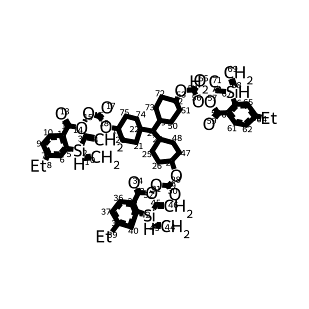 C=C[SiH](C=C)c1cc(CC)ccc1C(=O)OOC(=O)OC1CCC(C(C2CCC(OC(=O)OOC(=O)c3ccc(CC)cc3[SiH](C=C)C=C)CC2)C2CCC(OC(=O)OOC(=O)c3ccc(CC)cc3[SiH](C=C)C=C)CC2)CC1